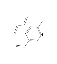 C=CC=C.C=Cc1ccc(C)nc1